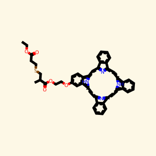 CCOC(=O)CCSCC(C)C(=O)OCCOc1ccc2c3cc4nc(cc5[nH]c(cc6nc(cc([nH]3)c2c1)-c1ccccc1-6)c1ccccc51)-c1ccccc1-4